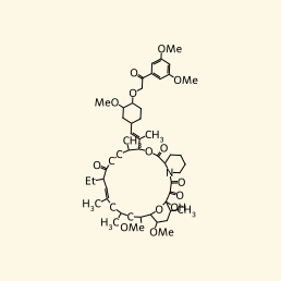 CCC1/C=C(\C)CC(C)CC(OC)C2OC(O)(C(=O)C(=O)N3CCCCC3C(=O)OC(C(C)=CC3CCC(OCC(=O)c4cc(OC)cc(OC)c4)C(OC)C3)C(C)CCC1=O)C(C)CC2OC